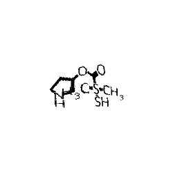 CS(C)(S)C(=O)OC1CCNC1